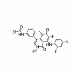 CCC(=O)Nc1cccc(-c2nn(C(C)C)c(=O)c3c(Nc4ccc(I)cc4F)c(F)c(=O)n(C)c23)c1